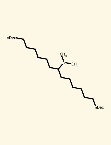 CCCCCCCCCCCCCCCCC(CCCCCCCCCCCCCCCC)N(C)C